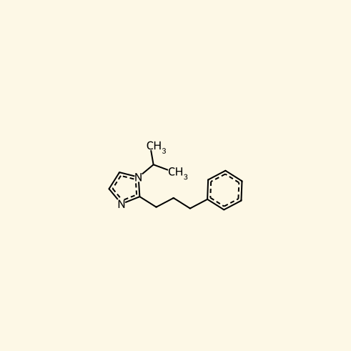 CC(C)n1ccnc1CCCc1ccccc1